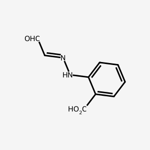 O=CC=NNc1ccccc1C(=O)O